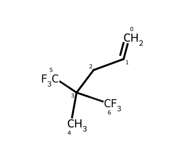 C=CCC(C)(C(F)(F)F)C(F)(F)F